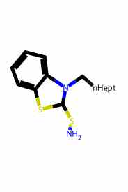 CCCCCCCCN1c2ccccc2SC1SN